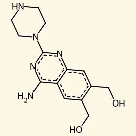 Nc1nc(N2CCNCC2)nc2cc(CO)c(CO)cc12